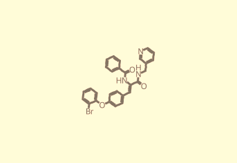 O=C(NCc1cccnc1)C(=Cc1ccc(Oc2ccccc2Br)cc1)NC(=O)c1ccccc1